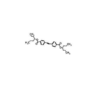 CCCC(CCC)OC(=O)c1ccc(C#Cc2ccc(C(=O)OC(CCC)CCC)cc2)cc1